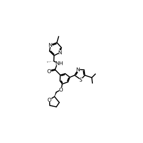 Cc1cnc([C@@H](C)NC(=O)c2cc(OC[C@H]3CCCO3)cc(-c3ncc(C(C)C)s3)c2)cn1